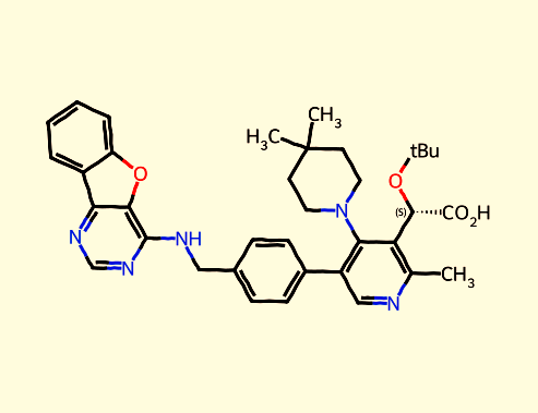 Cc1ncc(-c2ccc(CNc3ncnc4c3oc3ccccc34)cc2)c(N2CCC(C)(C)CC2)c1[C@H](OC(C)(C)C)C(=O)O